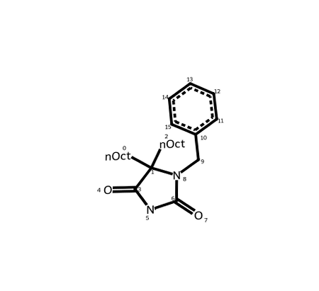 CCCCCCCCC1(CCCCCCCC)C(=O)[N]C(=O)N1Cc1ccccc1